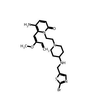 C=C/C(=C\c1c(N)ccc(=O)n1CCN1CCC(NCc2cnc(Br)s2)CC1)OC